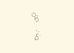 CCn1c2ccccc2c2cc(N(C)CCCNC(=O)c3cc4ccccc4[nH]3)ccc21